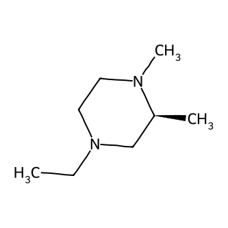 CCN1CCN(C)[C@@H](C)C1